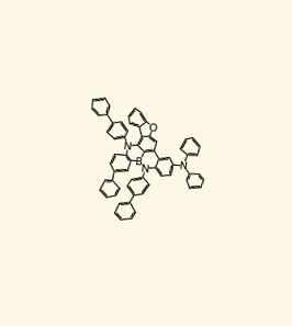 c1ccc(-c2ccc(N3B4c5cc(-c6ccccc6)ccc5N(c5ccc(-c6ccccc6)cc5)c5c4c(cc4oc6ccccc6c54)-c4cc(N(c5ccccc5)c5ccccc5)ccc43)cc2)cc1